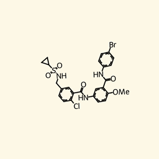 COc1ccc(NC(=O)c2cc(CNS(=O)(=O)C3CC3)ccc2Cl)cc1C(=O)Nc1ccc(Br)cc1